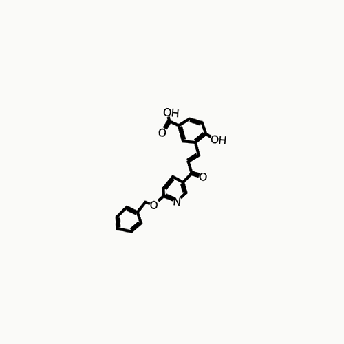 O=C(O)c1ccc(O)c(/C=C/C(=O)c2ccc(OCc3ccccc3)nc2)c1